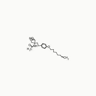 C=CCCCCCCOc1ccc(CCC(CO)(CO)NC(C)=O)cc1